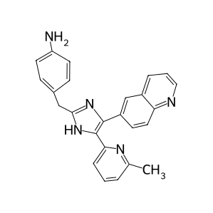 Cc1cccc(-c2[nH]c(Cc3ccc(N)cc3)nc2-c2ccc3ncccc3c2)n1